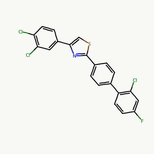 Fc1ccc(-c2ccc(-c3nc(-c4ccc(Cl)c(Cl)c4)cs3)cc2)c(Cl)c1